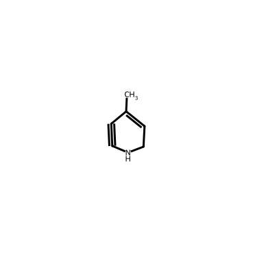 CC1=CCNC#C1